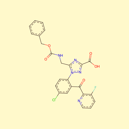 O=C(NCc1nc(C(=O)O)nn1-c1ccc(Cl)cc1C(=O)c1ncccc1F)OCc1ccccc1